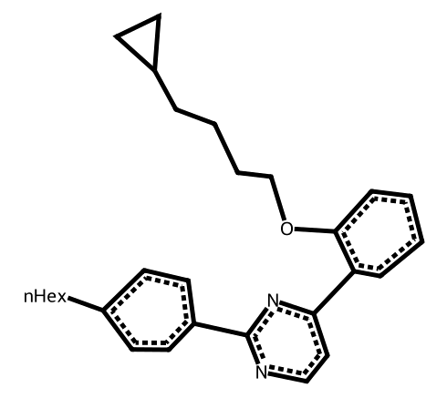 CCCCCCc1ccc(-c2nccc(-c3ccccc3OCCCCC3CC3)n2)cc1